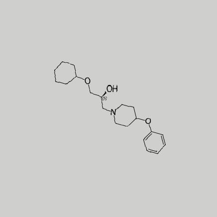 O[C@H](COC1CCCCC1)CN1CCC(Oc2ccccc2)CC1